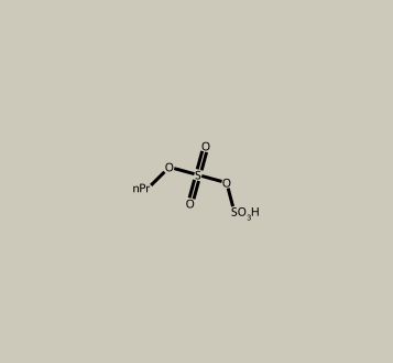 CCCOS(=O)(=O)OS(=O)(=O)O